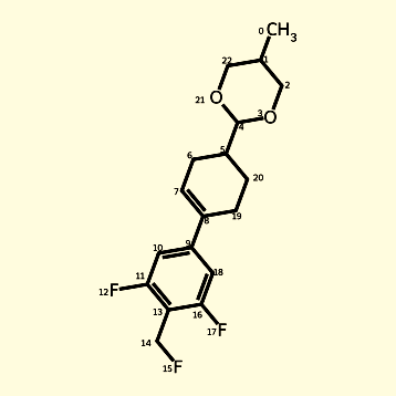 CC1COC(C2CC=C(c3cc(F)c(CF)c(F)c3)CC2)OC1